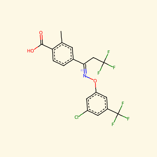 Cc1cc(/C(CC(F)(F)F)=N/Oc2cc(Cl)cc(C(F)(F)F)c2)ccc1C(=O)O